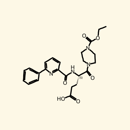 CCOC(=O)N1CCN(C(=O)[C@H](CCC(=O)O)NC(=O)c2cccc(-c3ccccc3)n2)CC1